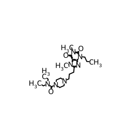 CCCn1c(=O)n(C)c(=O)c2c1nc(CCCN1CCN(C(=O)N(CC)CC)CC1)n2C